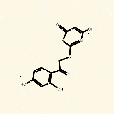 O=C(CSc1nc(O)cc(=O)[nH]1)c1ccc(O)cc1O